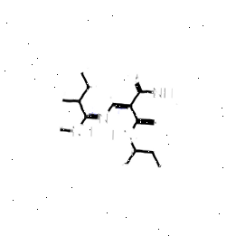 C=C(NC(C)CC)/C(=C\N=C(\NC)C(C)CC)C(N)=O